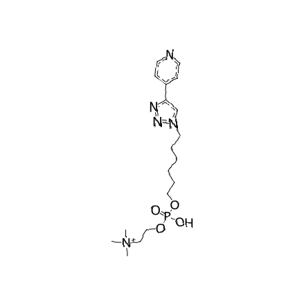 C[N+](C)(C)CCOP(=O)(O)OCCCCCCn1cc(-c2ccncc2)nn1